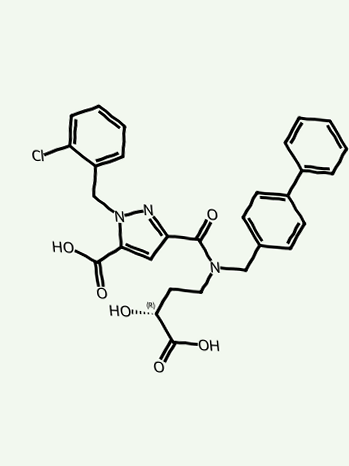 O=C(O)c1cc(C(=O)N(CC[C@@H](O)C(=O)O)Cc2ccc(-c3ccccc3)cc2)nn1Cc1ccccc1Cl